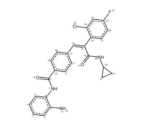 Nc1ccccc1NC(=O)c1ccc(C=C(C(=O)NC2CC2)c2ccc(F)cc2Cl)cc1